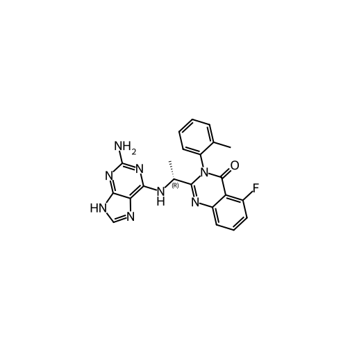 Cc1ccccc1-n1c([C@@H](C)Nc2nc(N)nc3[nH]cnc23)nc2cccc(F)c2c1=O